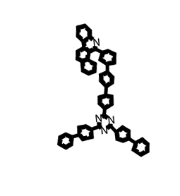 c1ccc(-c2ccc(-c3nc(-c4ccc(-c5ccccc5)cc4)nc(-c4ccc(-c5ccc(-c6cccc(-c7nc8ccccc8c8ccc9ccccc9c78)c6)cc5)cc4)n3)cc2)cc1